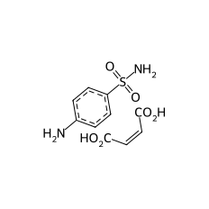 Nc1ccc(S(N)(=O)=O)cc1.O=C(O)/C=C\C(=O)O